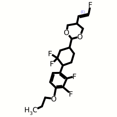 CCCOc1ccc(C2CCC(C3OCC(/C=C/F)CO3)CC2(F)F)c(F)c1F